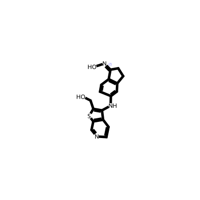 OCc1sc2cnccc2c1Nc1ccc2c(c1)CC/C2=N/O